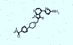 CN(C)C(=O)c1ccc(C2CCN(Cc3c(F)c4c(-c5ccc(N)cn5)ccnc4n3C)CC2)cc1